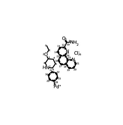 CCOC1CCCNC1.NC(=O)c1ccc2ccc3cccnc3c2n1.[Cl-].[Pd+][c]1ccccc1